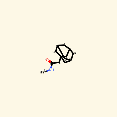 CC(C)NC(=O)CC12CC3CC(CC(C3)C1)C2